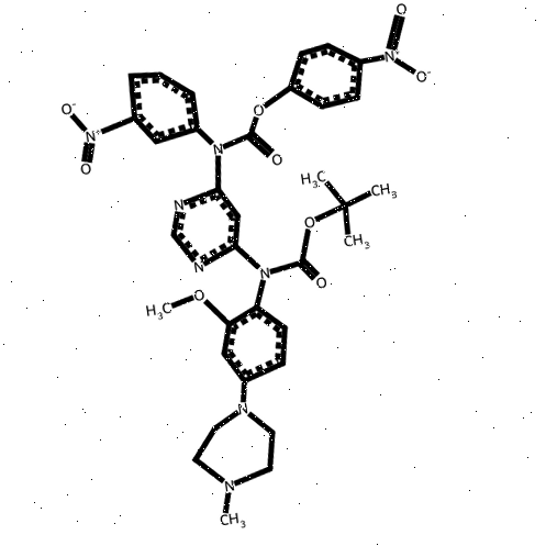 COc1cc(N2CCN(C)CC2)ccc1N(C(=O)OC(C)(C)C)c1cc(N(C(=O)Oc2ccc([N+](=O)[O-])cc2)c2cccc([N+](=O)[O-])c2)ncn1